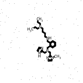 CCCN(CCC)CCCCNCc1ccccc1CN(Cc1ncc[nH]1)Cc1nccn1C